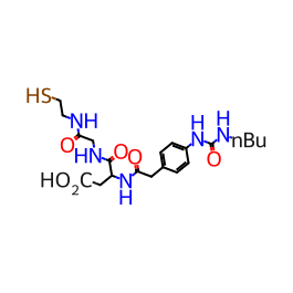 CCCCNC(=O)Nc1ccc(CC(=O)NC(CC(=O)O)C(=O)NCC(=O)NCCS)cc1